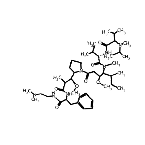 CCC(C)C(C(CC(=O)N1CCCC1C(OC)C(C)C(=O)NC(Cc1ccccc1)C(=O)NCCN(C)C)OC)N(C)C(=O)[C@@H](NC(=O)C(C(C)C)N(C)C(C)C)C(C)C